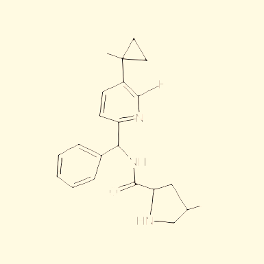 CC1(c2ccc(C(NC(=O)C3CC(F)CN3)c3ccccc3)nc2F)CC1